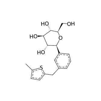 Cc1ccc(Cc2cccc([C@@H]3O[C@H](CO)[C@@H](O)[C@H](O)[C@H]3O)c2)s1